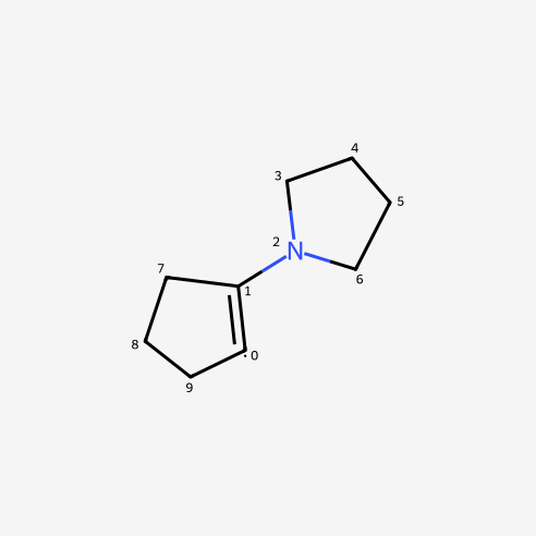 [C]1=C(N2CCCC2)CCC1